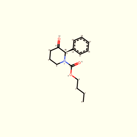 CCCCOC(=O)N1CCCC(=O)[C@H]1c1ccccc1